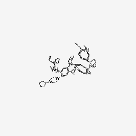 C=CC(=O)Nc1cc(Nc2cc(N3OCC[C@@H]3c3ccc(C)nc3)ncn2)c(OC)cc1N1CCN(C2CCCC2)CC1